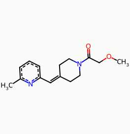 COCC(=O)N1CCC(=Cc2cccc(C)n2)CC1